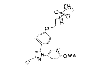 COc1ccc(-n2nc(C3CC3)cc2-c2ccc(OCCNS(C)(=O)=O)cc2)cn1